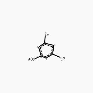 C[C](C)c1cc(C#N)cc(OC(C)=O)c1